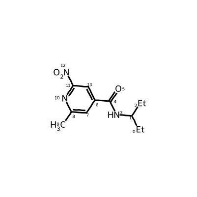 CCC(CC)NC(=O)c1cc(C)nc([N+](=O)[O-])c1